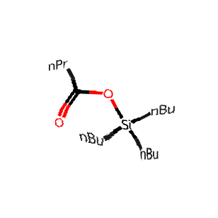 [CH2]CCC(=O)O[Si](CCCC)(CCCC)CCCC